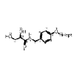 CCCCCCCOc1ccc(CNC(=O)C(O)CO)cc1